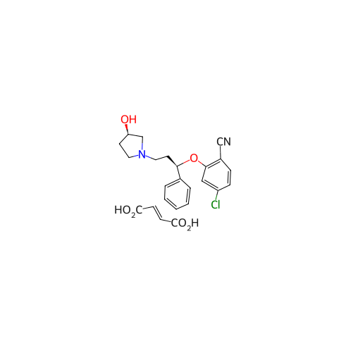 N#Cc1ccc(Cl)cc1O[C@H](CCN1CC[C@@H](O)C1)c1ccccc1.O=C(O)/C=C/C(=O)O